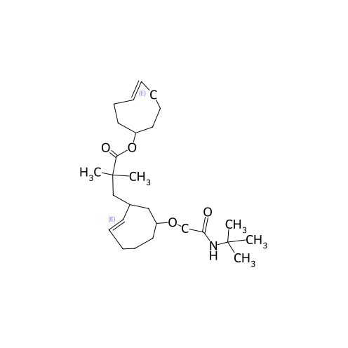 CC(C)(C)NC(=O)COC1CCC/C=C/C(CC(C)(C)C(=O)OC2CC/C=C/CCC2)C1